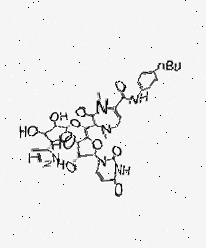 C=C(N)[C@H]1O[C@@H](O/C(=C2/O[C@@H](n3ccc(=O)[nH]c3=O)[C@H](O)[C@@H]2O)[C@H]2C(=O)N(C)C(C(=O)Nc3ccc(CCCC)cc3)=CCN2C)[C@H](O)[C@@H]1O